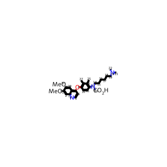 COc1cc2nccc(Oc3ccc(N(CCCCCCN(C)C)C(=O)O)c(C)c3C)c2cc1OC